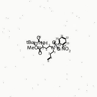 C=CCCN(CCC(NC(=O)OC(C)(C)C)C(=O)OC)S(=O)(=O)c1ccccc1[N+](=O)[O-]